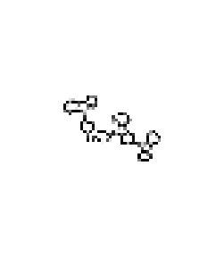 c1ccc2c(c1)c1ccccc1n2-c1ccc2oc3ccc(-n4c5ccc(-n6c7ccccc7c7ccccc76)cc5c5cccnc54)cc3c2c1